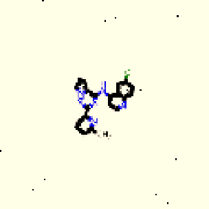 Cc1cccc(-c2nc(Nc3ccnc4ccc(Cl)cc34)c3cccn3n2)n1